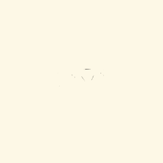 CCN(c1ccc([N+](=O)[O-])cc1)C(C)CO